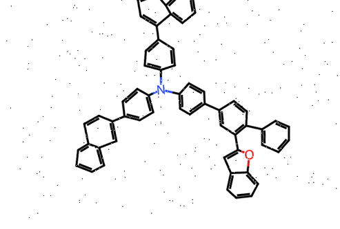 c1ccc(-c2ccc(-c3ccc(N(c4ccc(-c5ccc6ccccc6c5)cc4)c4ccc(-c5cccc6ccccc56)cc4)cc3)cc2-c2cc3ccccc3o2)cc1